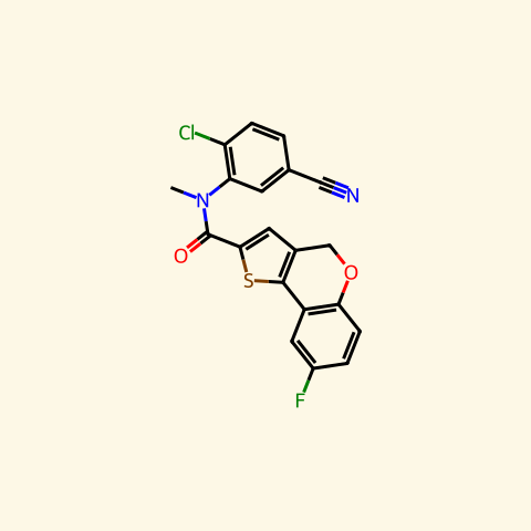 CN(C(=O)c1cc2c(s1)-c1cc(F)ccc1OC2)c1cc(C#N)ccc1Cl